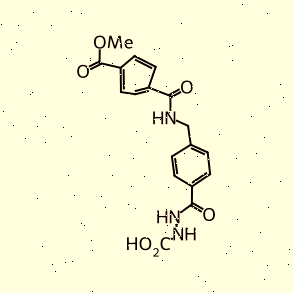 COC(=O)c1ccc(C(=O)NCc2ccc(C(=O)NNC(=O)O)cc2)cc1